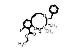 CCOC(=O)c1c(F)ccc2c1OBN(C)[C@@H](C)[C@H](Cc1ccccc1)OC/C=C\2